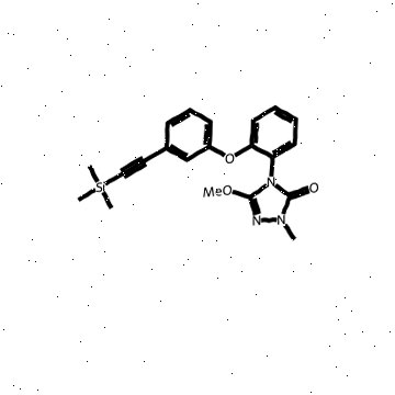 COc1nn(C)c(=O)n1-c1ccccc1Oc1cccc(C#C[Si](C)(C)C)c1